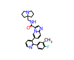 Cc1cc(-c2ncccc2-c2ccc3ncc(C(=O)NCC45CCCN4CCC5)n3c2)ccc1F